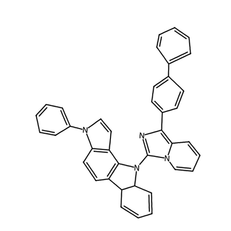 C1=CC2c3ccc4c(ccn4-c4ccccc4)c3N(c3nc(-c4ccc(-c5ccccc5)cc4)c4ccccn34)C2C=C1